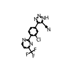 N#Cc1[nH]nnc1-c1ccc(-c2nccc(C(F)(F)F)n2)c(Cl)c1